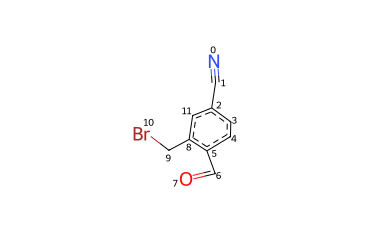 N#Cc1ccc(C=O)c(CBr)c1